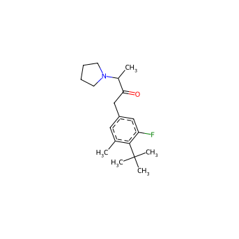 Cc1cc(CC(=O)C(C)N2CCCC2)cc(F)c1C(C)(C)C